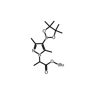 Cc1nn(C(C)C(=O)OC(C)(C)C)c(C)c1B1OC(C)(C)C(C)(C)O1